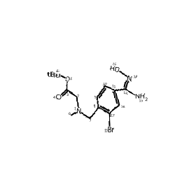 CN(CC(=O)OC(C)(C)C)Cc1ccc(/C(N)=N\O)cc1Br